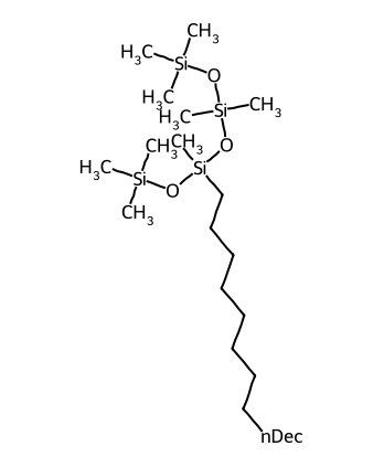 CCCCCCCCCCCCCCCCCC[Si](C)(O[Si](C)(C)C)O[Si](C)(C)O[Si](C)(C)C